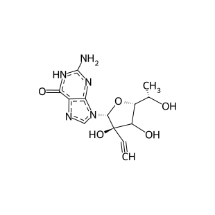 C#C[C@@]1(O)C(O)[C@@H]([C@H](C)O)O[C@H]1n1cnc2c(=O)[nH]c(N)nc21